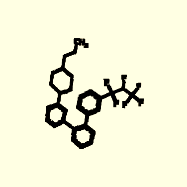 CCCC1CCC(c2cccc(-c3ccccc3-c3cccc(C(F)(F)C(F)C(F)(F)F)c3)c2)CC1